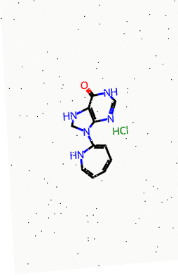 Cl.O=c1[nH]cnc2c1NCN2C1=CC=CC=CN1